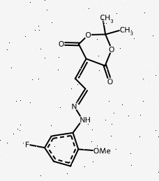 COc1ccc(F)cc1NN=CC=C1C(=O)OC(C)(C)OC1=O